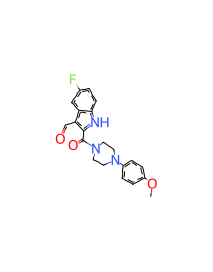 COc1ccc(N2CCN(C(=O)c3[nH]c4ccc(F)cc4c3C=O)CC2)cc1